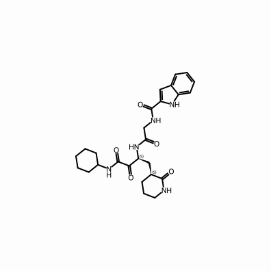 O=C(CNC(=O)c1cc2ccccc2[nH]1)N[C@@H](C[C@@H]1CCCNC1=O)C(=O)C(=O)NC1CCCCC1